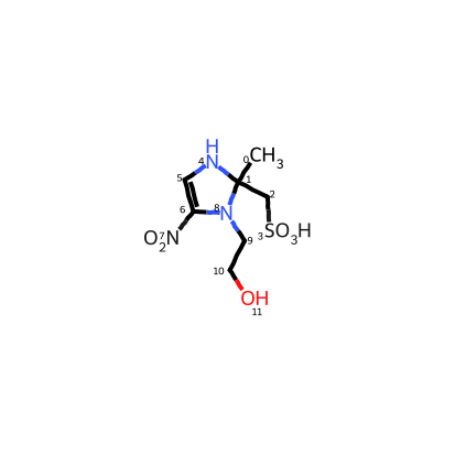 CC1(CS(=O)(=O)O)NC=C([N+](=O)[O-])N1CCO